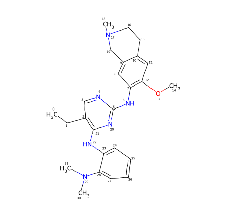 CCc1cnc(Nc2cc3c(cc2OC)CCN(C)C3)nc1Nc1ccccc1N(C)C